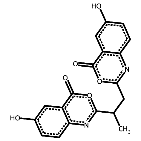 CC(Cc1nc2ccc(O)cc2c(=O)o1)c1nc2ccc(O)cc2c(=O)o1